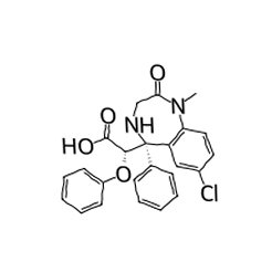 CN1C(=O)CN[C@](c2ccccc2)([C@H](Oc2ccccc2)C(=O)O)c2cc(Cl)ccc21